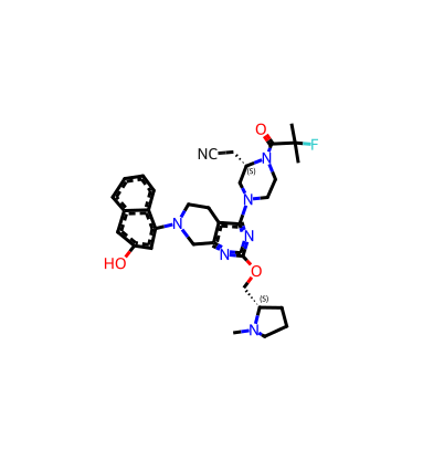 CN1CCC[C@H]1COc1nc2c(c(N3CCN(C(=O)C(C)(C)F)[C@@H](CC#N)C3)n1)CCN(c1cc(O)cc3ccccc13)C2